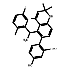 COc1cc(O)ccc1-c1ccc2c(c1C(N)c1cc(F)ccc1C)C(C)=CC(C)(C)N2